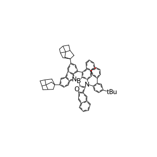 CC(C)(C)c1ccc(N2c3cc4ccccc4c4c3B(c3oc5cc6ccccc6cc5c32)n2c3ccc(C56CC7CC8CC(C5)C87C6)cc3c3cc(C56CC7CC8CC(C5)C87C6)cc-4c32)c(-c2ccccc2)c1